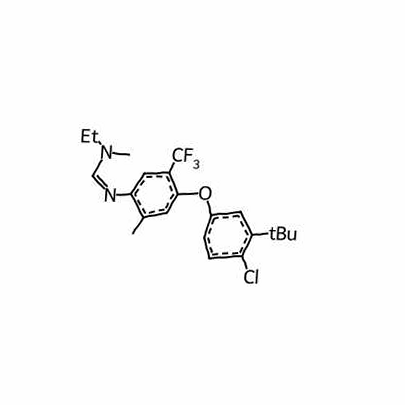 CCN(C)/C=N\c1cc(C(F)(F)F)c(Oc2ccc(Cl)c(C(C)(C)C)c2)cc1C